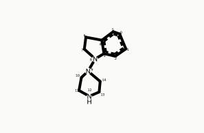 c1ccc2c(c1)CCN2N1CCNCC1